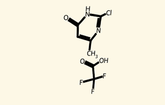 Cc1cc(=O)[nH]c(Cl)n1.O=C(O)C(F)(F)F